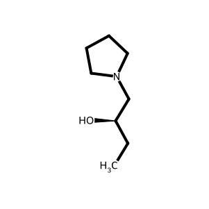 CC[C@@H](O)CN1CCCC1